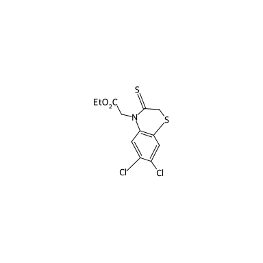 CCOC(=O)CN1C(=S)CSc2cc(Cl)c(Cl)cc21